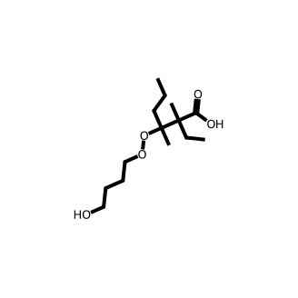 CCCC(C)(OOCCCCO)C(C)(CC)C(=O)O